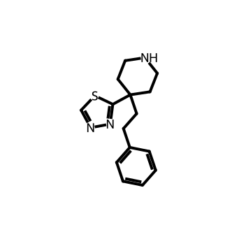 c1ccc(CCC2(c3nncs3)CCNCC2)cc1